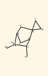 CC1C2CC(CC23CC3)N1C